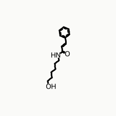 O=C(/C=C/c1ccccc1)NCCCCCCO